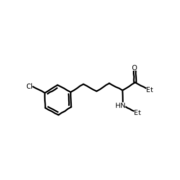 CCNC(CCCc1cccc(Cl)c1)C(=O)CC